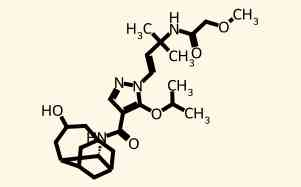 COCC(=O)NC(C)(C)/C=C/n1ncc(C(=O)N[C@@H]2C3CC4CC(O)CC2C(C4)C3)c1OC(C)C